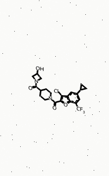 O=C(c1oc2c(C(F)(F)F)cc(C3CC3)cc2c1Cl)N1CCC(C(=O)N2CC(O)C2)CC1